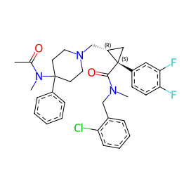 CC(=O)N(C)C1(c2ccccc2)CCN(C[C@@H]2C[C@@]2(C(=O)N(C)Cc2ccccc2Cl)c2ccc(F)c(F)c2)CC1